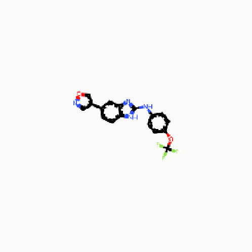 FC(F)(F)Oc1ccc(Nc2nc3cc(-c4cnoc4)ccc3[nH]2)cc1